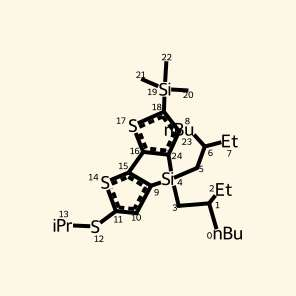 CCCCC(CC)C[Si]1(CC(CC)CCCC)c2cc(SC(C)C)sc2-c2sc([Si](C)(C)C)cc21